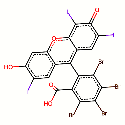 O=C(O)c1c(Br)c(Br)c(Br)c(Br)c1-c1c2cc(I)c(=O)c(I)c-2oc2cc(O)c(I)cc12